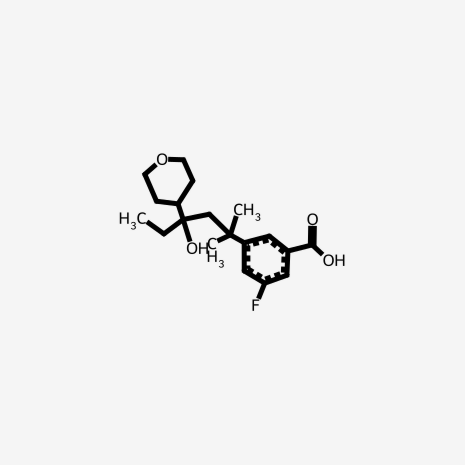 CCC(O)(CC(C)(C)c1cc(F)cc(C(=O)O)c1)C1CCOCC1